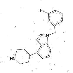 Fc1cccc(Cn2ccc3c(N4CCNCC4)cccc32)c1